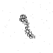 CC(Cc1cccc(OCC2CC(Oc3ccnc4c3OCCO4)C2)c1)C(=O)O